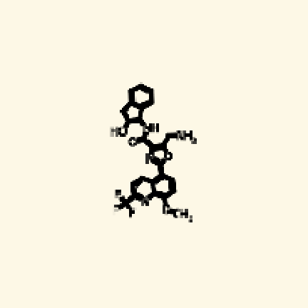 COc1ccc(-c2nc(C(=O)NC3c4ccccc4CC3O)c(CN)o2)c2ccc(C(F)(F)F)nc12